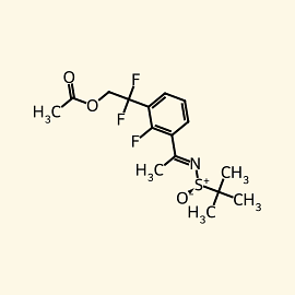 CC(=O)OCC(F)(F)c1cccc(C(C)=N[S@+]([O-])C(C)(C)C)c1F